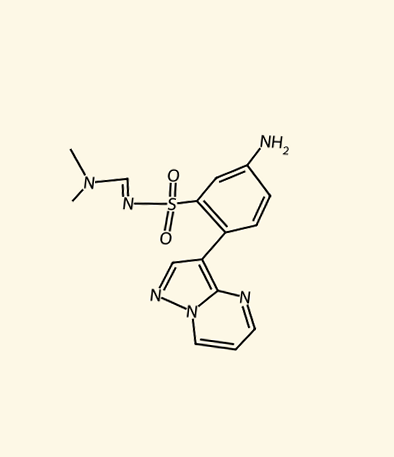 CN(C)/C=N/S(=O)(=O)c1cc(N)ccc1-c1cnn2cccnc12